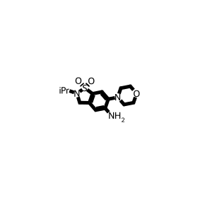 CC(C)N1Cc2cc(N)c(N3CCOCC3)cc2S1(=O)=O